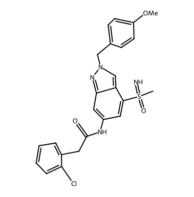 COc1ccc(Cn2cc3c(S(C)(=N)=O)cc(NC(=O)Cc4ccccc4Cl)cc3n2)cc1